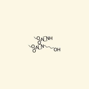 CCOC(=O)N1CCN(CCCCCO)CC1.CCOC(=O)N1CCNCC1